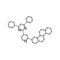 c1ccc(-c2cc(-c3ccccc3)nc(-c3ccnc(-c4ccc5ccc6c7ccccc7ccc6c5c4)c3)n2)cc1